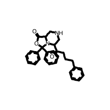 O=C(CCCc1ccccc1)C1CNCC2C(=O)OC(c3ccccc3)(c3ccccc3)N12